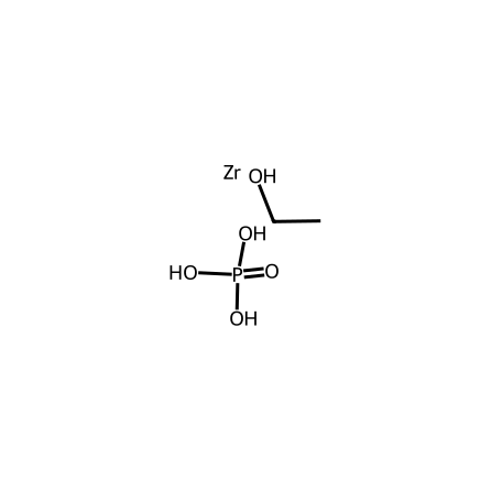 CCO.O=P(O)(O)O.[Zr]